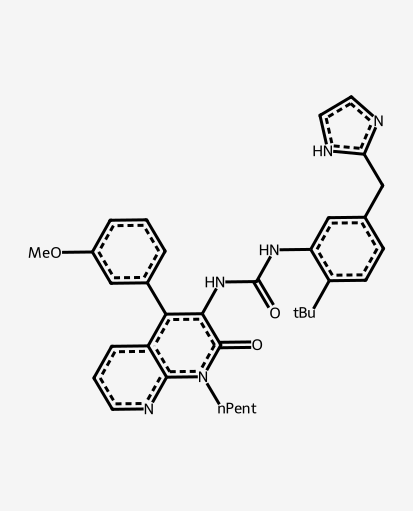 CCCCCn1c(=O)c(NC(=O)Nc2cc(Cc3ncc[nH]3)ccc2C(C)(C)C)c(-c2cccc(OC)c2)c2cccnc21